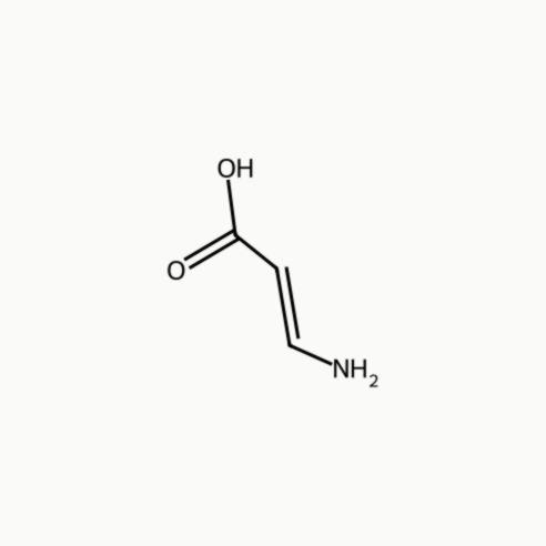 N/C=C/C(=O)O